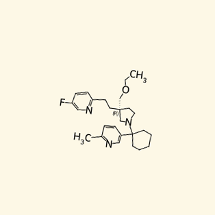 CCOC[C@]1(CCc2ccc(F)cn2)CCN(C2(c3ccc(C)nc3)CCCCC2)C1